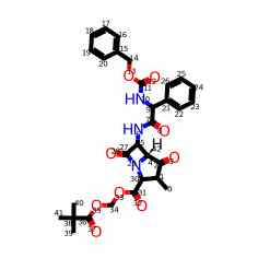 CC1C(=O)[C@@H]2C(NC(=O)C(NC(=O)OCc3ccccc3)c3ccccc3)C(=O)N2C1C(=O)OCOC(=O)C(C)(C)C